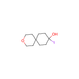 OC1(I)CCC2(CCOCC2)CC1